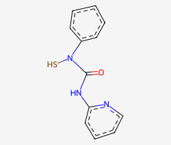 O=C(Nc1ccccn1)N(S)c1ccccc1